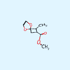 COC(=O)C1CC2(OCCO2)C1C